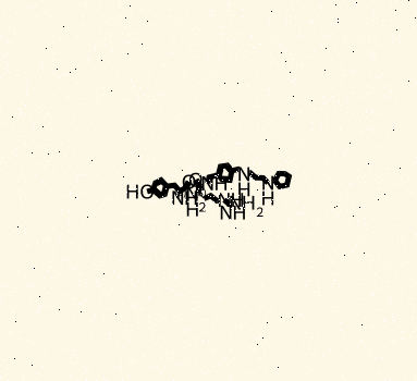 N=C(N)NCCC[C@H](NC(=O)[C@@H](N)Cc1ccc(O)cc1)C(=O)NCc1ccc(CNCCCNC2CCCCC2)cc1